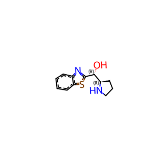 O[C@@H](c1nc2ccccc2s1)[C@H]1CCCN1